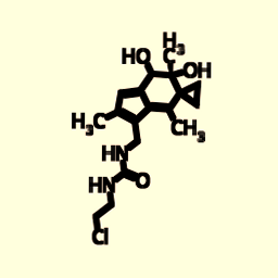 CC1=C(CNC(=O)NCCCl)C2=C(C)C3(CC3)[C@@](C)(O)C(O)C2=C1